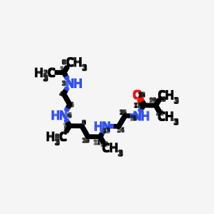 CC(C)NCCNC(C)CCC(C)NCCNC(=O)C(C)C